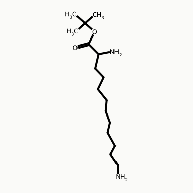 CC(C)(C)OC(=O)C(N)CCCCCCCCCCN